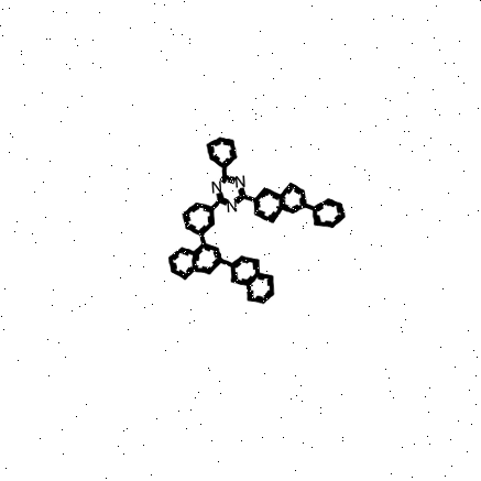 c1ccc(-c2ccc3cc(-c4nc(-c5ccccc5)nc(-c5cccc(-c6cc(-c7ccc8ccccc8c7)cc7ccccc67)c5)n4)ccc3c2)cc1